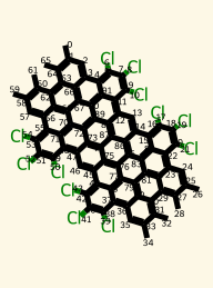 Cc1cc2c3c(Cl)c(Cl)c(Cl)c4c5cc6c7c(Cl)c(Cl)c(Cl)c8c9cc(C)c(C)c%10c%11c(C)c(C)cc%12c%13c(Cl)c(Cl)c(Cl)c%14c%15cc%16c%17c(Cl)c(Cl)c(Cl)c%18c%19cc(C)c(C)c%20c(c1C)c2c1c(c%19%20)c(c%18%17)c2c%16c%16c%15c%15c(c%13%14)c(c%12%11)c(c9%10)c(c87)c%15c6c%16c5c2c1c34